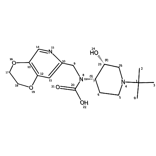 CC(C)(C)N1CC[C@H](N(Cc2cc3c(cn2)OCCO3)C(=O)O)[C@H](O)C1